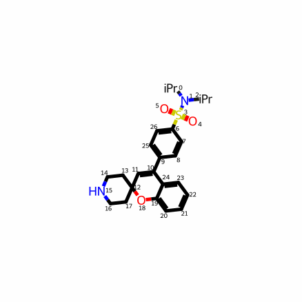 CC(C)N(C(C)C)S(=O)(=O)c1ccc(C2=CC3(CCNCC3)Oc3ccccc32)cc1